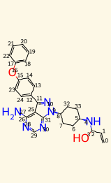 C=CC(O)N[C@H]1CC[C@@H](n2nc(-c3ccc(Oc4ccccc4)cc3)c3c(N)ncnc32)CC1